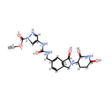 CC(C)(C)OC(=O)n1cc(NC(=O)NCc2ccc3c(c2)C(=O)N(C2CCC(=O)NC2=O)C3)cn1